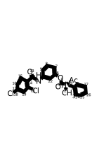 CC(=O)[N+](C)(C(=O)Oc1cccc(NC(=O)c2ccc(Cl)cc2Cl)c1)c1ccccc1